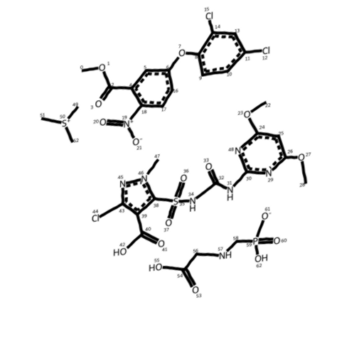 COC(=O)c1cc(Oc2ccc(Cl)cc2Cl)ccc1[N+](=O)[O-].COc1cc(OC)nc(NC(=O)NS(=O)(=O)c2c(C(=O)O)c(Cl)nn2C)n1.C[S+](C)C.O=C(O)CNCP(=O)([O-])O